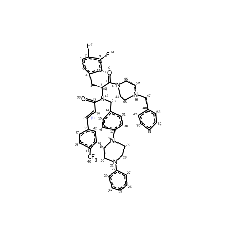 O=C([C@H](Cc1ccc(F)c(F)c1)N(Cc1ccc(N2CCN(c3ccccc3)CC2)cc1)C(=O)/C=C/c1ccc(C(F)(F)F)cc1)N1CCN(Cc2ccccc2)CC1